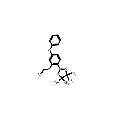 CCOc1cc(Oc2ccccc2)ccc1B1OC(C)(C)C(C)(C)O1